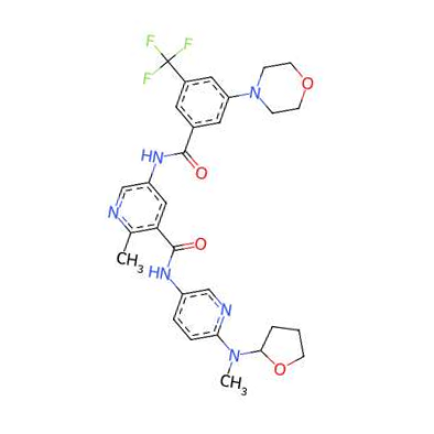 Cc1ncc(NC(=O)c2cc(N3CCOCC3)cc(C(F)(F)F)c2)cc1C(=O)Nc1ccc(N(C)C2CCCO2)nc1